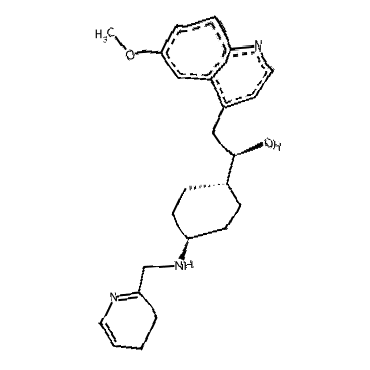 COc1ccc2nccc(C[C@@H](O)[C@H]3CC[C@H](NCC4=NC=CCC4)CC3)c2c1